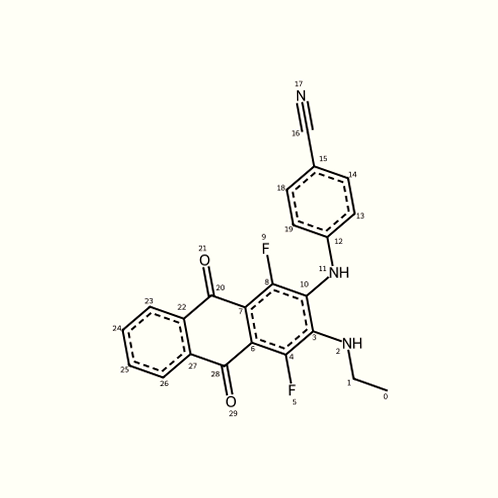 CCNc1c(F)c2c(c(F)c1Nc1ccc(C#N)cc1)C(=O)c1ccccc1C2=O